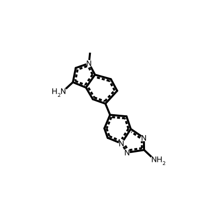 Cn1cc(N)c2cc(-c3ccn4nc(N)nc4c3)ccc21